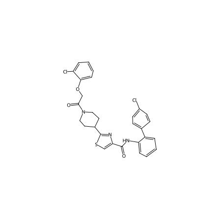 O=C(Nc1ccccc1-c1ccc(Cl)cc1)c1csc(C2CCN(C(=O)COc3ccccc3Cl)CC2)n1